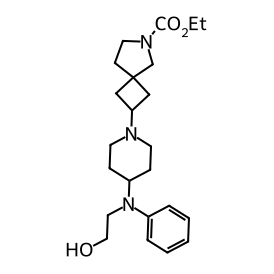 CCOC(=O)N1CCC2(CC(N3CCC(N(CCO)c4ccccc4)CC3)C2)C1